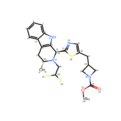 C[C@@H]1Cc2c([nH]c3ccccc23)[C@@H](c2ncc(CC3CN(C(=O)OC(C)(C)C)C3)s2)N1CC(F)F